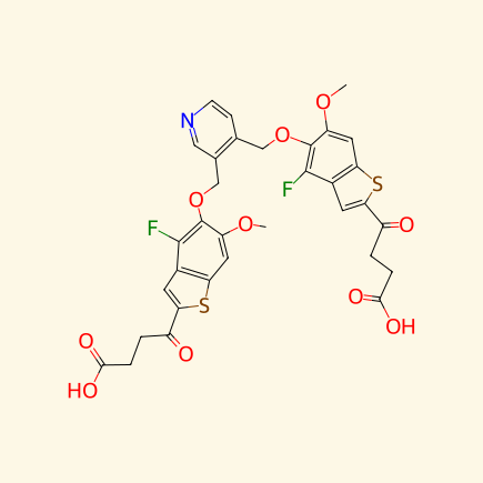 COc1cc2sc(C(=O)CCC(=O)O)cc2c(F)c1OCc1ccncc1COc1c(OC)cc2sc(C(=O)CCC(=O)O)cc2c1F